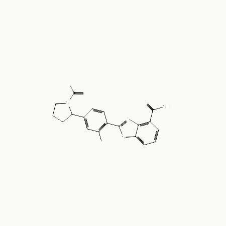 NC(=O)c1cccc2[nH]c(-c3ccc(C4CCCN4C(=O)O)cc3F)nc12